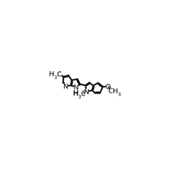 COc1ccc2c(c1)cc(-c1cc3cc(C)cnc3[nH]1)n2C